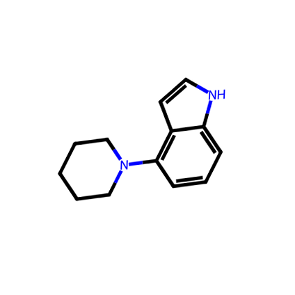 c1cc(N2CCCCC2)c2cc[nH]c2c1